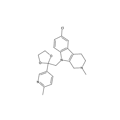 Cc1ccc(C2(Cn3c4c(c5cc(Cl)ccc53)CCN(C)C4)OCCO2)cn1